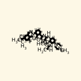 C=CC(=O)Nc1cc(Nc2nc(-c3cccc(-n4ncc5cc(C(C)(C)C)cc(F)c5c4=O)c3CO)cn(C)c2=O)ccc1N1CCN(C)CC1